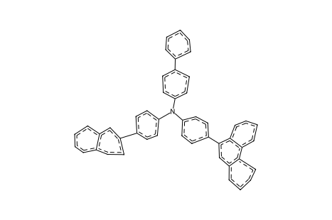 c1ccc(-c2ccc(N(c3ccc(-c4ccc5ccccc5c4)cc3)c3ccc(-c4cc5ccccc5c5ccccc45)cc3)cc2)cc1